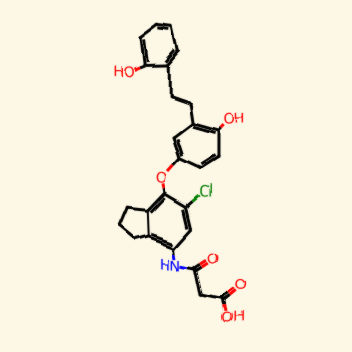 O=C(O)CC(=O)Nc1cc(Cl)c(Oc2ccc(O)c(CCc3ccccc3O)c2)c2c1CCC2